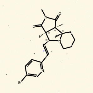 CN1C(=O)[C@@H]2[C@H](/C=C/c3ccc(Br)cn3)N3CCCC[C@H]3[C@]2(C)C1=O